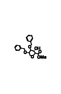 COC(=O)C1OCC(OCc2ccccc2)C(OCc2ccccc2)[C@@H]1O